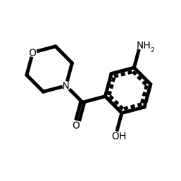 Nc1ccc(O)c(C(=O)N2CCOCC2)c1